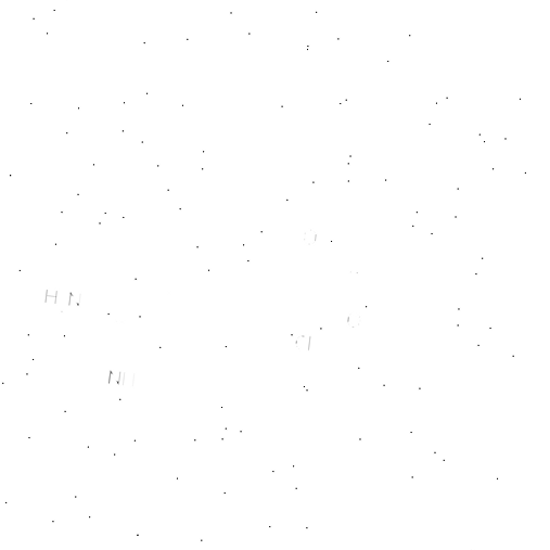 N=C(N)c1ccc(OC(=O)c2ccccc2)c(Cl)c1